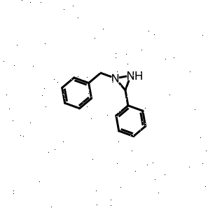 c1ccc(CN2NC2c2ccccc2)cc1